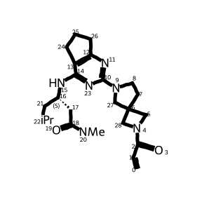 C=CC(=O)N1CC2(CCN(c3nc4c(c(N[C@H](CC(=O)NC)CC(C)C)n3)CCC4)C2)C1